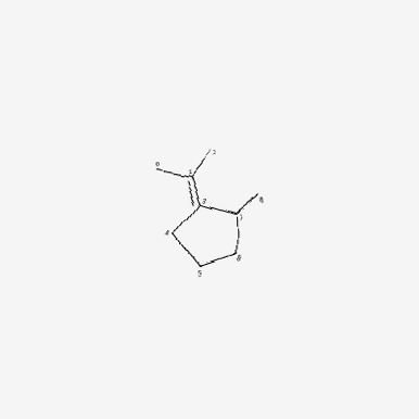 CC(C)=C1CCCC1C